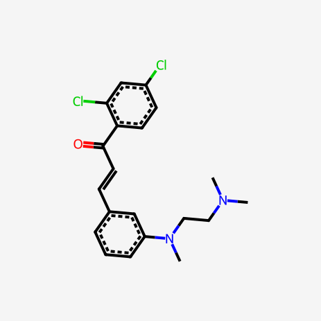 CN(C)CCN(C)c1cccc(C=CC(=O)c2ccc(Cl)cc2Cl)c1